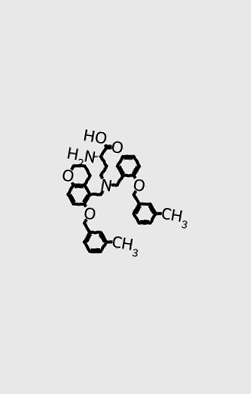 Cc1cccc(COc2ccccc2CN(CC[C@H](N)C(=O)O)Cc2c(OCc3cccc(C)c3)ccc3c2CCCO3)c1